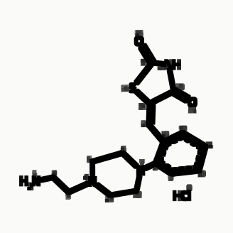 Cl.NCCN1CCN(c2ccccc2C=C2SC(=O)NC2=O)CC1